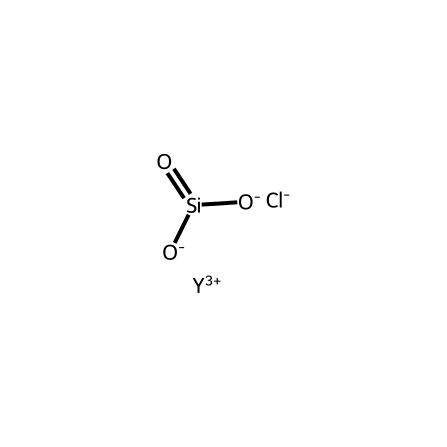 O=[Si]([O-])[O-].[Cl-].[Y+3]